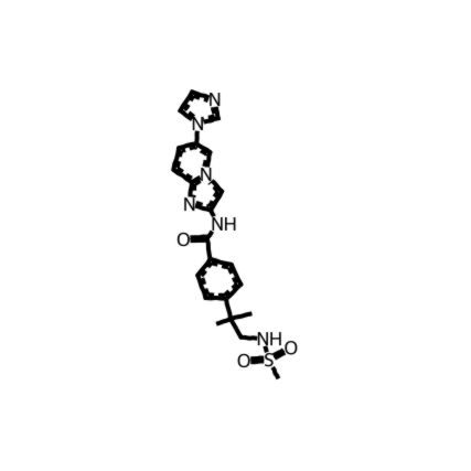 CC(C)(CNS(C)(=O)=O)c1ccc(C(=O)Nc2cn3cc(-n4ccnc4)ccc3n2)cc1